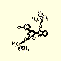 C[Si](C)(C)CCOCn1nc(-c2ccnc(Cl)n2)cc(-c2nc3ccccc3n2COCC[Si](C)(C)C)c1=O